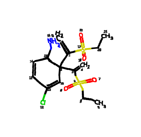 C=C(C1(C(=C)S(=O)(=O)CC)C=C(Cl)C=CC1N)S(=O)(=O)CC